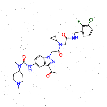 CC(=O)c1nn(CC(=O)N(CC(=O)NCc2cccc(Cl)c2F)C2CC2)c2ccc(NC(=O)N(C)C3CCN(C)CC3)cc12